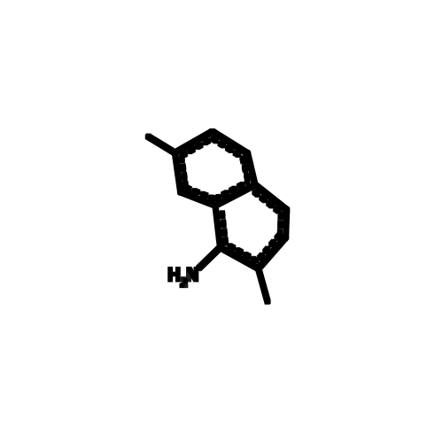 Cc1ccc2ccc(C)c(N)c2c1